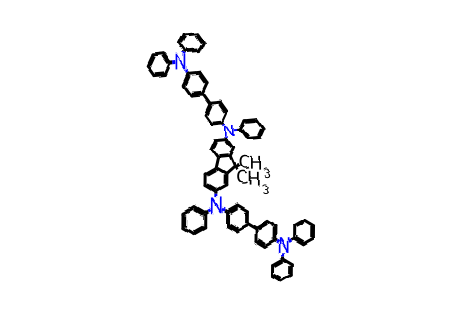 CC1(C)c2cc(N(c3ccccc3)c3ccc(-c4ccc(N(c5ccccc5)c5ccccc5)cc4)cc3)ccc2-c2ccc(N(c3ccccc3)c3ccc(-c4ccc(N(c5ccccc5)c5ccccc5)cc4)cc3)cc21